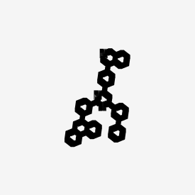 c1ccc(-c2cccc(-c3cc(-c4ccc(-c5cncc6ccccc56)cc4)nc(-c4cccc(-c5cc6ccccc6c6ccccc56)c4)n3)c2)cc1